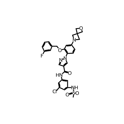 CS(=O)(=O)Nc1cc(Cl)cc(NC(=O)c2cnn(-c3ccc(N4CC5(COC5)C4)cc3OCc3cccc(F)c3)c2)c1